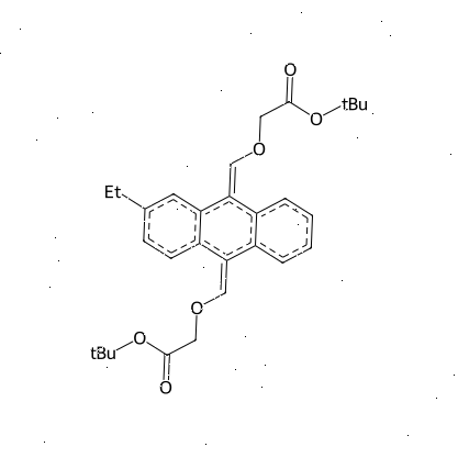 CCc1ccc2c(=COCC(=O)OC(C)(C)C)c3ccccc3c(=COCC(=O)OC(C)(C)C)c2c1